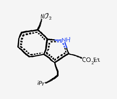 CCOC(=O)c1[nH]c2c([N+](=O)[O-])cccc2c1CC(C)C